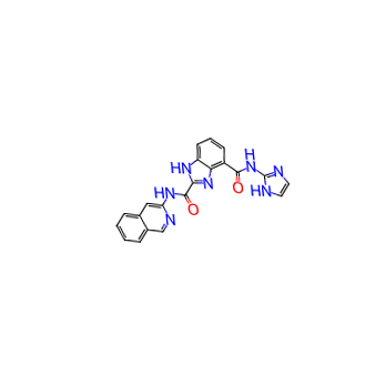 O=C(Nc1cc2ccccc2cn1)c1nc2c(C(=O)Nc3ncc[nH]3)cccc2[nH]1